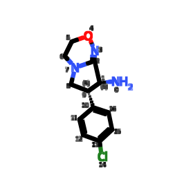 N[C@@H]1C2=NOCCN2C[C@H]1c1ccc(Cl)cc1